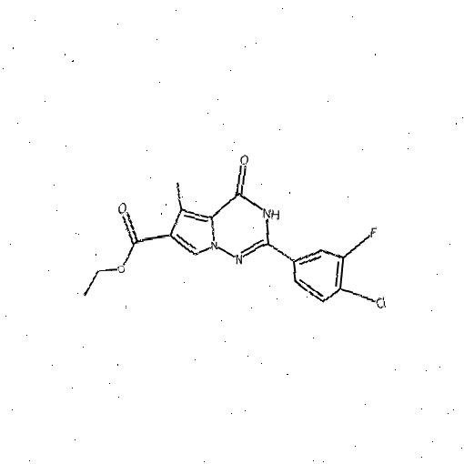 CCOC(=O)c1cn2nc(-c3ccc(Cl)c(F)c3)[nH]c(=O)c2c1C